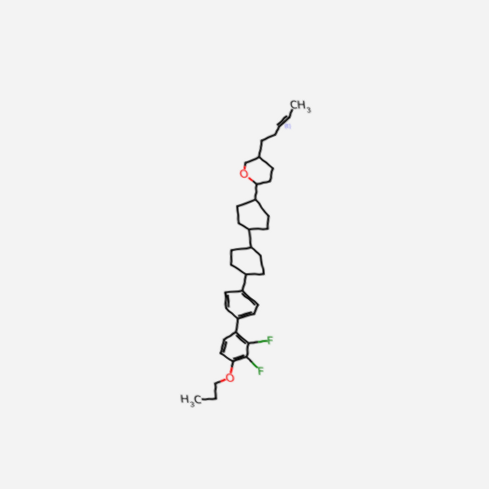 C/C=C/CCC1CCC(C2CCC(C3CCC(c4ccc(-c5ccc(OCCC)c(F)c5F)cc4)CC3)CC2)OC1